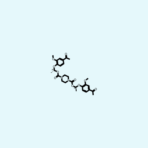 COc1cc(C(C)=O)ccc1O[C@@H](C)OC(=O)N1CCN(C(=O)O[C@H](C)Oc2ccc(C(C)=O)cc2OC)CC1